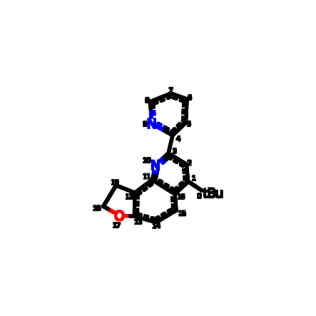 CC(C)(C)c1cc(-c2ccccn2)nc2c3c(ccc12)OCC3